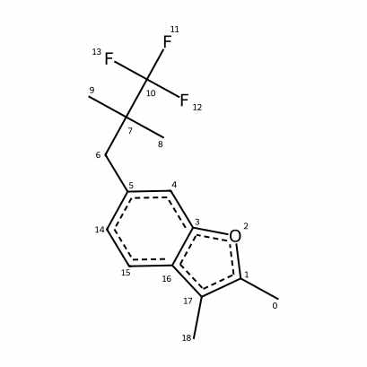 Cc1oc2cc(CC(C)(C)C(F)(F)F)ccc2c1C